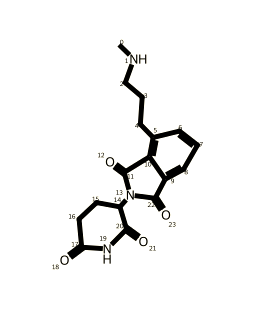 CNCCCc1cccc2c1C(=O)N(C1CCC(=O)NC1=O)C2=O